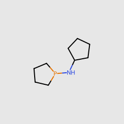 C1CCC(NP2CCCC2)C1